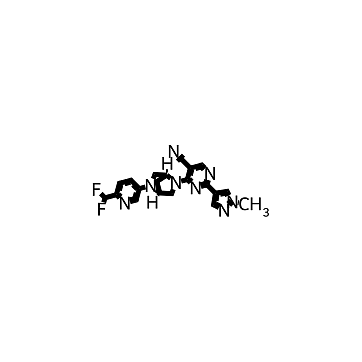 Cn1cc(-c2ncc(C#N)c(N3C[C@H]4C[C@H]3CN4c3ccc(C(F)F)nc3)n2)cn1